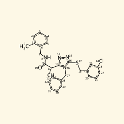 Cc1ccccc1CNC(=O)C(C)c1nnc(SCc2cccc(Cl)c2)n1Cc1ccccc1